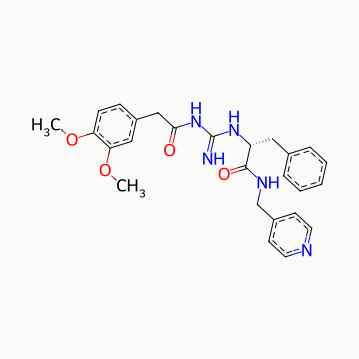 COc1ccc(CC(=O)NC(=N)N[C@H](Cc2ccccc2)C(=O)NCc2ccncc2)cc1OC